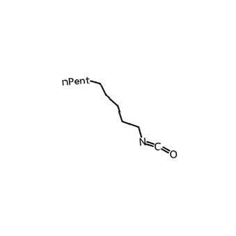 [CH2]CCCCCCCCCN=C=O